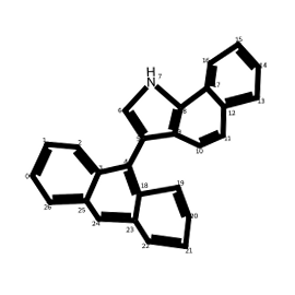 c1ccc2c(-c3c[nH]c4c3ccc3ccccc34)c3ccccc3cc2c1